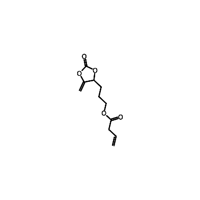 C=CCC(=O)OCCCC1OC(=O)OC1=C